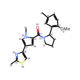 COc1ccc(C)cc1C1CCCN1C(=O)c1cc(-c2csc(C)n2)cn1C